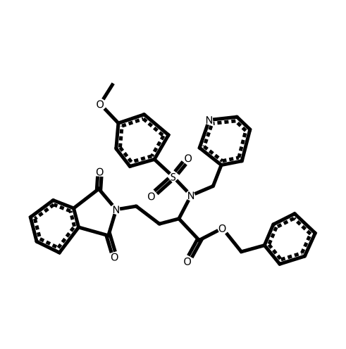 COc1ccc(S(=O)(=O)N(Cc2cccnc2)C(CCN2C(=O)c3ccccc3C2=O)C(=O)OCc2ccccc2)cc1